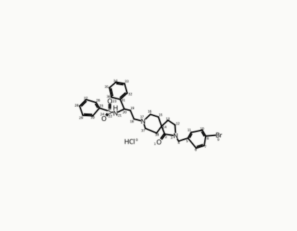 Cl.O=C1N(Cc2ccc(Br)cc2)CCC12CCN(CCC(NS(=O)(=O)c1ccccc1)c1ccccc1)CC2